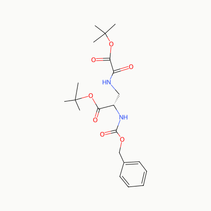 CC(C)(C)OC(=O)C(=O)NC[C@H](NC(=O)OCc1ccccc1)C(=O)OC(C)(C)C